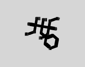 CC(C)OP(=O)(O)C(O)(Cc1cccnc1)P(=O)(OC(C)C)OC(C)C